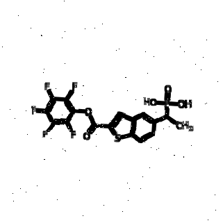 CC(c1ccc2sc(C(=O)Oc3c(F)c(F)c(F)c(F)c3F)cc2c1)P(=O)(O)O